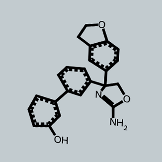 NC1=NC(c2cccc(-c3cccc(O)c3)c2)(c2ccc3c(c2)CCO3)CO1